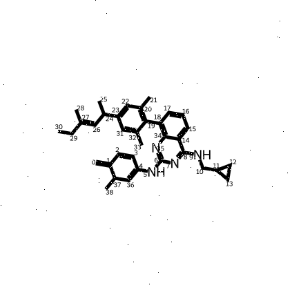 C=C1C=CC(Nc2nc(NCC3CC3)c3cccc(-c4c(C)cc(C(C)/C=C(\C)CC)cc4C)c3n2)=CC1C